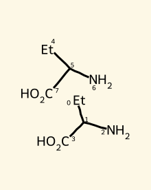 CCC(N)C(=O)O.CCC(N)C(=O)O